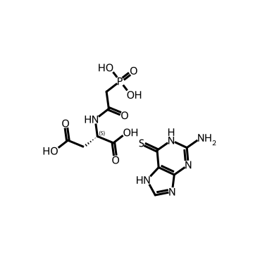 Nc1nc2nc[nH]c2c(=S)[nH]1.O=C(O)C[C@H](NC(=O)CP(=O)(O)O)C(=O)O